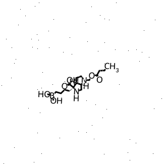 CCCC(=O)OCN1CC[C@H]2[C@@H]1CN[C@@]2(CCCCB(O)O)C(=O)O